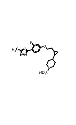 Cc1nnc(-c2ccc(OCCC3CC3C3CCN(C(=O)O)CC3)cc2F)o1